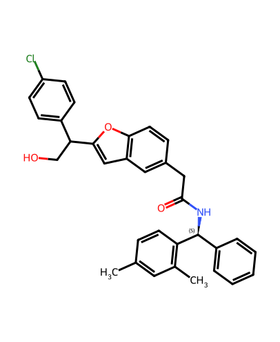 Cc1ccc([C@@H](NC(=O)Cc2ccc3oc(C(CO)c4ccc(Cl)cc4)cc3c2)c2ccccc2)c(C)c1